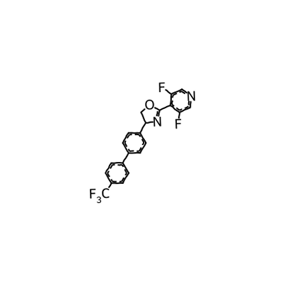 Fc1cncc(F)c1C1=NC(c2ccc(-c3ccc(C(F)(F)F)cc3)cc2)CO1